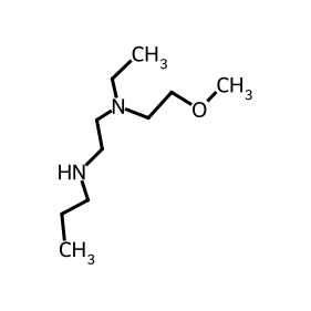 CCCNCCN(CC)CCOC